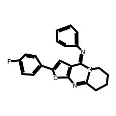 Fc1ccc(-c2cc3/c(=N\c4ccccc4)n4c(nc3o2)CCCC4)cc1